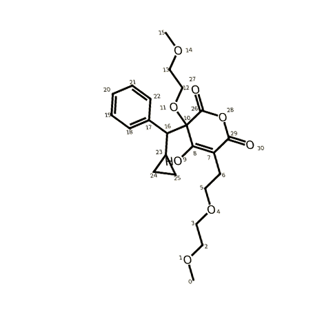 COCCOCCC1=C(O)C(OCCOC)(C(c2ccccc2)C2CC2)C(=O)OC1=O